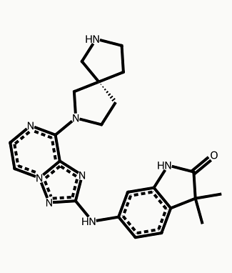 CC1(C)C(=O)Nc2cc(Nc3nc4c(N5CC[C@]6(CCNC6)C5)nccn4n3)ccc21